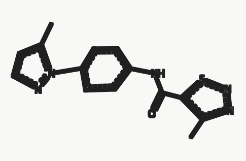 Cc1nnsc1C(=O)Nc1ccc(-n2nccc2C)cc1